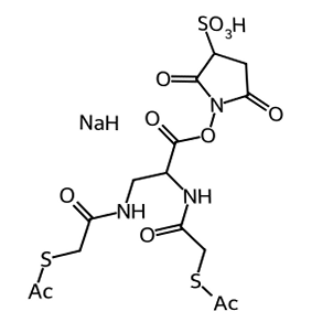 CC(=O)SCC(=O)NCC(NC(=O)CSC(C)=O)C(=O)ON1C(=O)CC(S(=O)(=O)O)C1=O.[NaH]